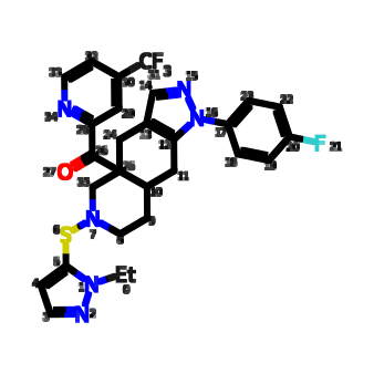 CCn1nccc1SN1CCC2Cc3c(cnn3-c3ccc(F)cc3)CC2(C(=O)c2cc(C(F)(F)F)ccn2)C1